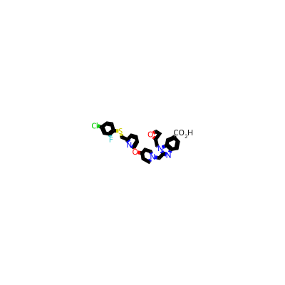 O=C(O)c1ccc2nc(CN3CCC(Oc4cccc(CSc5ccc(Cl)cc5F)n4)CC3)n(CC3CCO3)c2c1